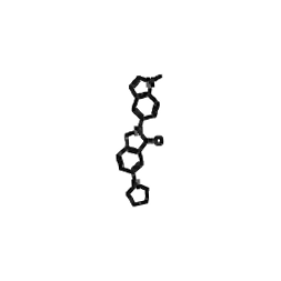 Cn1ccc2cc(N3Cc4ccc(N5CCCC5)cc4C3=O)ccc21